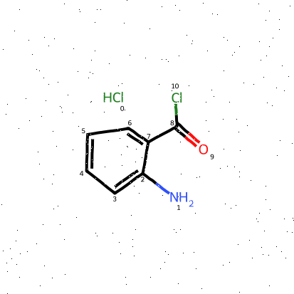 Cl.Nc1ccccc1C(=O)Cl